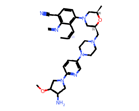 C=Nc1c(C#N)ccc(N2C[C@H](CN3CCN(c4ccc(N5CC(N)C(OC)C5)nc4)CC3)O[C@H](C)C2)c1/C=C\C